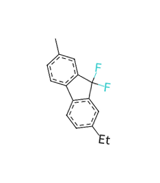 CCc1ccc2c(c1)C(F)(F)c1cc(C)ccc1-2